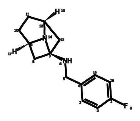 Fc1ccc(CN[C@]23C[C@H]4CC[C@@H](C2)N43)cc1